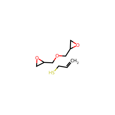 C(OCC1CO1)C1CO1.C=CCS